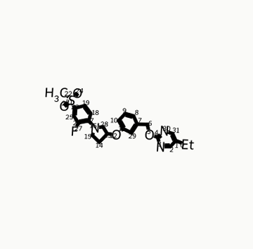 CCc1cnc(OCc2cccc(OC3CCN(c4ccc(S(C)(=O)=O)cc4F)C3)c2)nc1